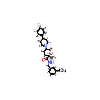 CC(C)C1(C(=O)NCc2cccc(C(C)(C)C)c2)CCC(N2CCC(c3ccc(F)cc3)CC2)CO1